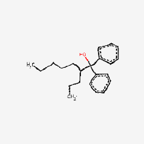 [CH2]CCC(CCCCC)C(O)(c1ccccc1)c1ccccc1